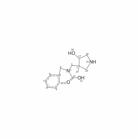 CC1(CN(Cc2ccccc2)C(=O)O)CNCC1O